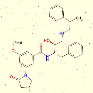 CCCCCOc1cc(C(=O)N[C@@H](Cc2ccccc2)[C@@H](O)CNCC(C)c2ccccc2)cc(N2CCCC2=O)c1